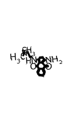 CN(C)CCCNc1ccc(N)c2c1C(=O)c1ccccc1C2=O